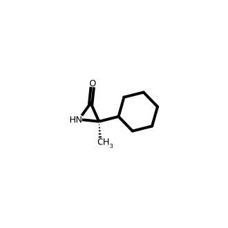 C[C@]1(C2CCCCC2)NC1=O